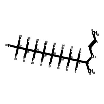 CC=COC(C)C(F)(F)C(F)(F)C(F)(F)C(F)(F)C(F)(F)C(F)(F)C(F)(F)C(F)(F)F